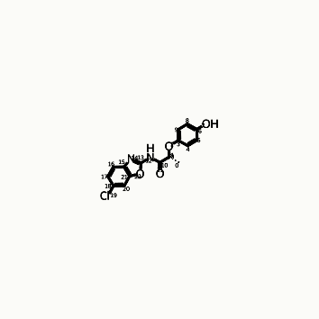 C[C@@H](Oc1ccc(O)cc1)C(=O)Nc1nc2ccc(Cl)cc2o1